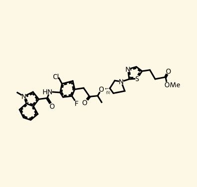 COC(=O)CCc1cnc(N2CC[C@H](OC(C)C(=O)Cc3cc(Cl)c(NC(=O)c4cn(C)c5ccccc45)cc3F)C2)s1